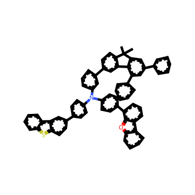 CC1(C)c2ccc(-c3cccc(N(c4ccc(-c5ccc6sc7ccccc7c6c5)cc4)c4ccc(-c5cccc6c5oc5ccccc56)cc4)c3)cc2-c2c(-c3ccccc3)cc(-c3ccccc3)cc21